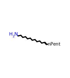 CCCCCC=CCCCCCCCCCCCN